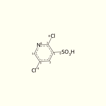 O=S(=O)(O)c1cc(Cl)cnc1Cl